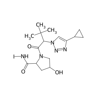 CC(C)(C)C(C(=O)N1CC(O)CC1C(=O)NI)n1cc(C2CC2)nn1